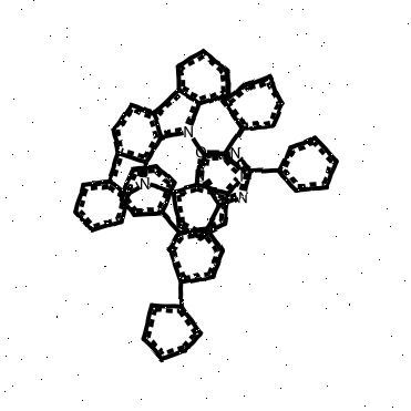 c1ccc(-c2ccc(-c3nc(-c4ccccc4)nc(-n4c5ccccc5c5ccc6c7ccccc7n(-c7cccc8nc(-c9ccccc9)oc78)c6c54)n3)c(-c3ccccc3)c2)cc1